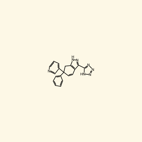 C1=CC(c2ccccc2)(c2cccnc2)Cc2[nH]nc(-c3nnn[nH]3)c21